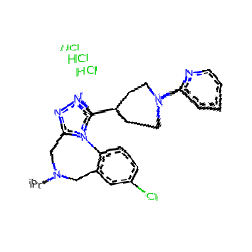 CC(C)N1Cc2cc(Cl)ccc2-n2c(nnc2C2CCN(c3ccccn3)CC2)C1.Cl.Cl.Cl